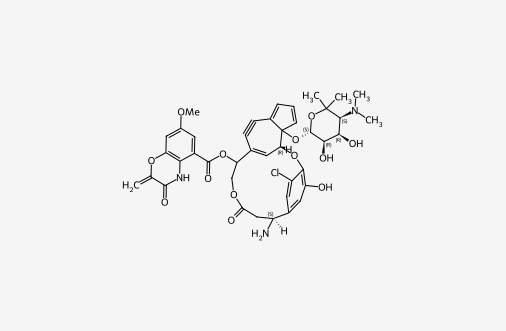 C=C1Oc2cc(OC)cc(C(=O)OC3COC(=O)C[C@H](N)c4cc(O)c(c(Cl)c4)O[C@@H]4C=C3C#CC3=CC=CC34O[C@@H]3OC(C)(C)[C@@H](N(C)C)[C@@H](O)[C@H]3O)c2NC1=O